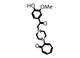 COc1cc(C(=O)CN2CCN(c3cccccc3=O)CC2)ccc1O